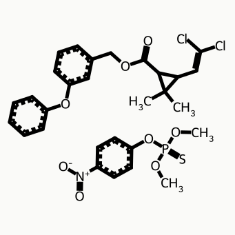 CC1(C)C(C=C(Cl)Cl)C1C(=O)OCc1cccc(Oc2ccccc2)c1.COP(=S)(OC)Oc1ccc([N+](=O)[O-])cc1